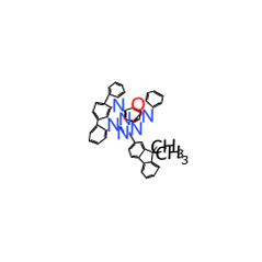 CC1(C)c2ccccc2-c2ccc(-c3nc(-c4nc5ccccc5o4)nc(-n4c5ccccc5c5ccc6c7ccccc7n(-c7ccccc7)c6c54)n3)cc21